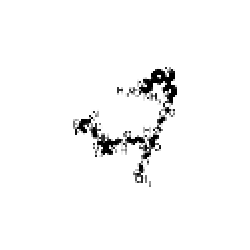 COCCOCCNC(=O)C(CSSCCOC(=O)OCc1ccc(-c2ccnc3ccc(-c4cnc(OC)c(N)c4)cc23)cn1)NC(=O)CCC(=O)NCc1cc(C(=O)NCC(=O)N2CC(F)(F)C[C@H]2C#N)c(Cl)cn1